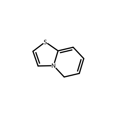 C1=CCN2C=CSC2=C1